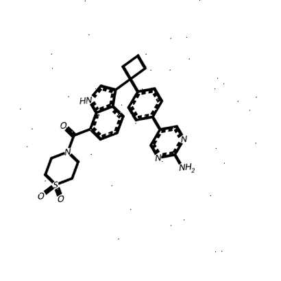 Nc1ncc(-c2ccc(C3(c4c[nH]c5c(C(=O)N6CCS(=O)(=O)CC6)cccc45)CCC3)cc2)cn1